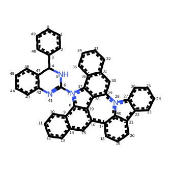 c1ccc(C2NC(n3c4c5ccccc5cc5c6cccc7c8ccccc8n(c8cc9ccccc9c3c8c54)c67)=Nc3ccccc32)cc1